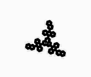 C1=C(c2c3ccccc3c(-c3ccc4ccccc4c3)c3ccccc23)C=C2C=C(c3c4ccccc4c(-c4ccc5ccccc5c4)c4ccccc34)C=C3C=C(c4c5ccccc5c(-c5ccc6ccccc6c5)c5ccccc45)C=C1N23